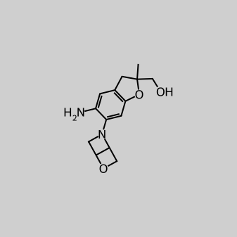 CC1(CO)Cc2cc(N)c(N3CC4OCC43)cc2O1